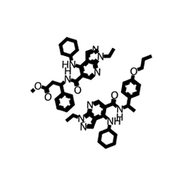 CCCOc1ccc(C(C)NC(=O)c2cnc3c(cnn3CC)c2NC2CCCCC2)cc1.CCn1ncc2c(NC3CCCCC3)c(C(=O)NC(CC(=O)OC)c3ccccc3)cnc21